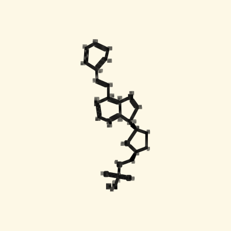 NS(=O)(=O)OC[C@@H]1CC[C@H](n2cnc3c(/C=C/c4ccccc4)ncnc32)O1